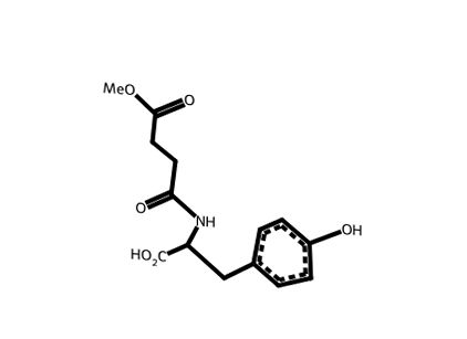 COC(=O)CCC(=O)NC(Cc1ccc(O)cc1)C(=O)O